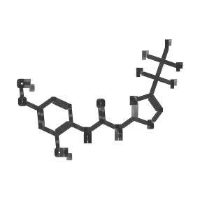 COc1ccc(NC(=O)Nc2nc(C(F)(F)C(F)(F)F)cs2)c(C)c1